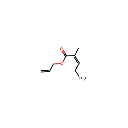 C=CCOC(=O)C(C)=CCC(=O)O